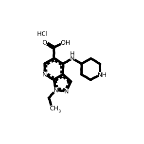 CCn1ncc2c(NC3CCNCC3)c(C(=O)O)cnc21.Cl